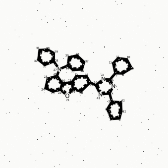 c1ccc(-c2nc(-c3ccccc3)nc(-c3ccc4c(c3)oc3cccc(N(c5ccccc5)c5ccccc5)c34)n2)cc1